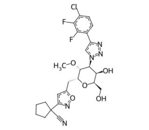 CO[C@@H]1[C@@H](n2cc(-c3ccc(Cl)c(F)c3F)nn2)[C@@H](O)[C@@H](CO)O[C@@H]1Cc1cc(C2(C#N)CCCC2)no1